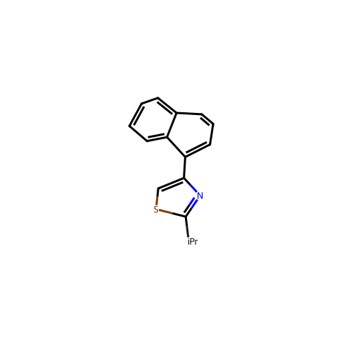 CC(C)c1nc(-c2cccc3ccccc23)cs1